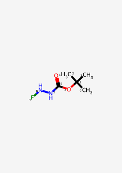 CC(C)(C)OC(=O)NNF